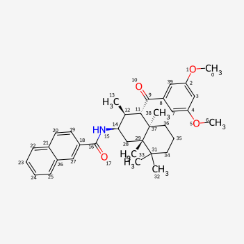 COc1cc(OC)cc(C(=O)[C@H]2[C@H](C)[C@H](NC(=O)c3ccc4ccccc4c3)C[C@@]3(C)C(C)(C)CCC[C@]23C)c1